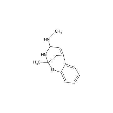 CNC1C=C2CC(C)(N1)Oc1ccccc12